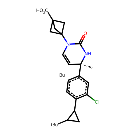 CC[C@H](C)C1=CN(C23CC(C(=O)O)(C2)C3)C(=O)N[C@@]1(C)c1ccc(C2CC2C(C)(C)C)c(Cl)c1